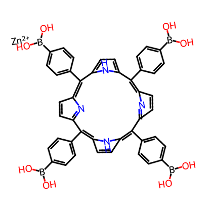 OB(O)c1ccc(-c2c3nc(c(-c4ccc(B(O)O)cc4)c4ccc([nH]4)c(-c4ccc(B(O)O)cc4)c4nc(c(-c5ccc(B(O)O)cc5)c5ccc2[nH]5)C=C4)C=C3)cc1.[Zn+2]